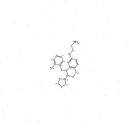 NCCOc1ccc2c(c1)C(Cc1ccccc1Cl)C(N1CCCC1)CC2